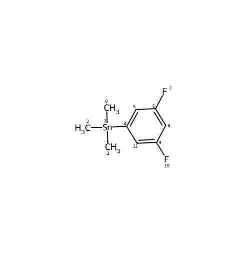 [CH3][Sn]([CH3])([CH3])[c]1cc(F)cc(F)c1